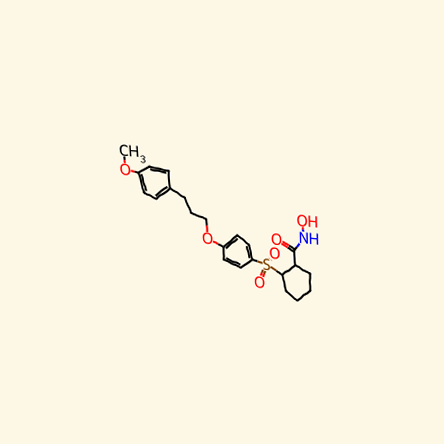 COc1ccc(CCCOc2ccc(S(=O)(=O)C3CCCCC3C(=O)NO)cc2)cc1